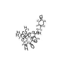 CC(C)C(C)(C)[Si](C)(C)OC1CN[C@H](C(=O)c2nc(C(=O)NCCc3ccc(Cl)cc3)co2)C1